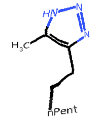 CCCCCCCc1nn[nH]c1C